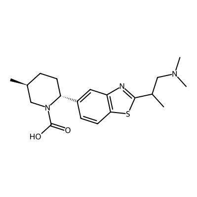 CC(CN(C)C)c1nc2cc([C@H]3CC[C@H](C)CN3C(=O)O)ccc2s1